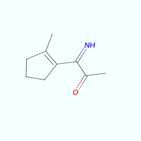 CC(=O)C(=N)C1=C(C)CCC1